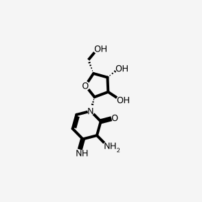 N=C1C=CN([C@@H]2O[C@H](CO)[C@H](O)C2O)C(=O)C1N